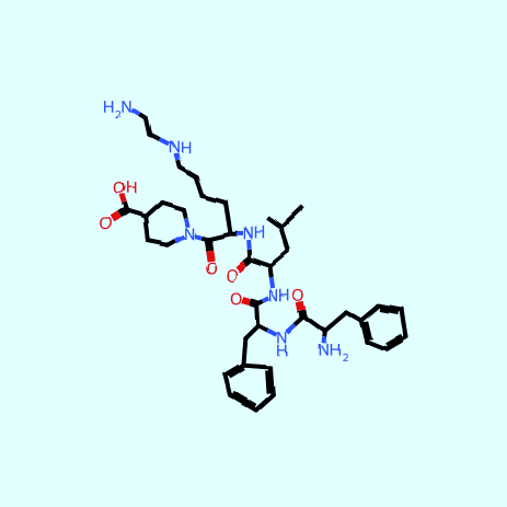 CC(C)CC(NC(=O)C(Cc1ccccc1)NC(=O)C(N)Cc1ccccc1)C(=O)NC(CCCCNCCN)C(=O)N1CCC(C(=O)O)CC1